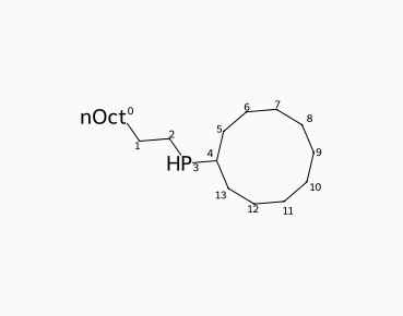 CCCCCCCCCCPC1CCCCCCCCC1